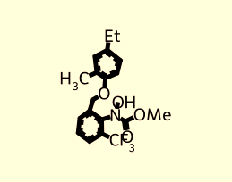 CCc1ccc(OCc2cccc(C(F)(F)F)c2N(O)C(=O)OC)c(C)c1